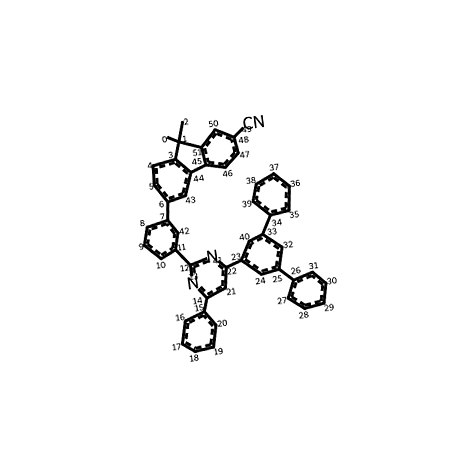 CC1(C)c2ccc(-c3cccc(-c4nc(-c5ccccc5)cc(-c5cc(-c6ccccc6)cc(-c6ccccc6)c5)n4)c3)cc2-c2ccc(C#N)cc21